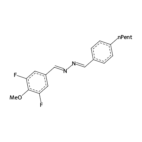 CCCCCc1ccc(/C=N/N=C/c2cc(F)c(OC)c(F)c2)cc1